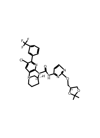 CC1(C)OC[C@H](COc2nccc(NC(=O)N3c4nc(-c5cccc(C(F)(F)F)c5)c(Cl)cc4N4CCC[C@H]3C4)n2)O1